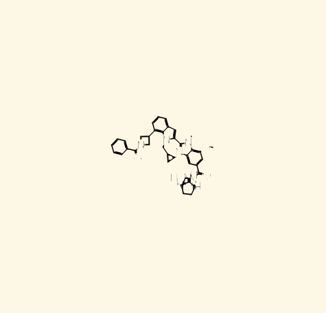 COc1cc(C(=O)N2C[C@H]3CC[C@@H]2[C@@H]3N)cc2nc(-c3cc4cccc(C5CN(C(=O)c6ccccc6)C5)c4n3CC3CC3)n(C)c12